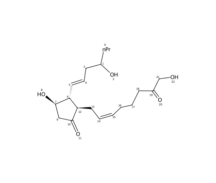 CCCC(O)C/C=C/[C@H]1[C@H](O)CC(=O)[C@@H]1C/C=C\CCCC(=O)CO